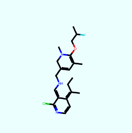 CC/C(C)=c1/ccnc(Cl)/c1=C/NCC1=CC(C)=C(OCC(C)F)N(C)C1